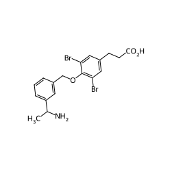 CC(N)c1cccc(COc2c(Br)cc(CCC(=O)O)cc2Br)c1